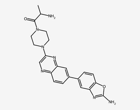 CC(N)C(=O)N1CCN(c2cnc3ccc(-c4ccc5oc(N)nc5c4)cc3n2)CC1